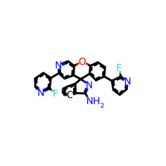 NC1=NC2(c3cc(-c4cccnc4F)ccc3Oc3cnc(-c4cccnc4F)cc32)c2ccccc21